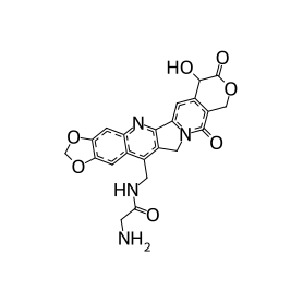 NCC(=O)NCc1c2c(nc3cc4c(cc13)OCO4)-c1cc3c(c(=O)n1C2)COC(=O)C3O